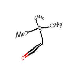 CO[Si](C=C=O)(OC)OC